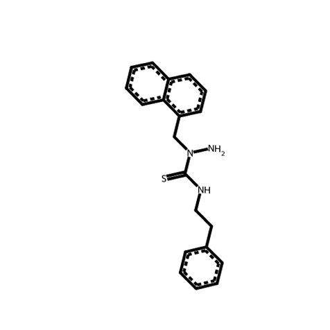 NN(Cc1cccc2ccccc12)C(=S)NCCc1ccccc1